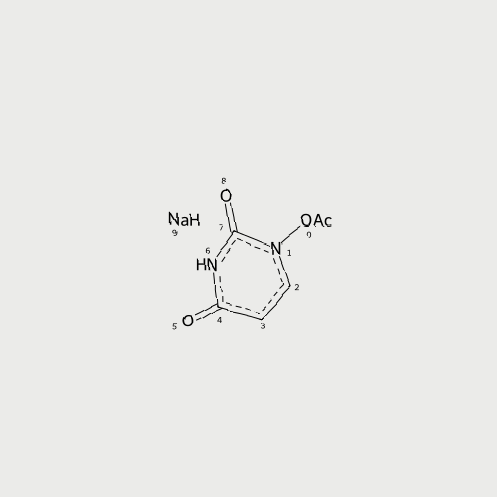 CC(=O)On1ccc(=O)[nH]c1=O.[NaH]